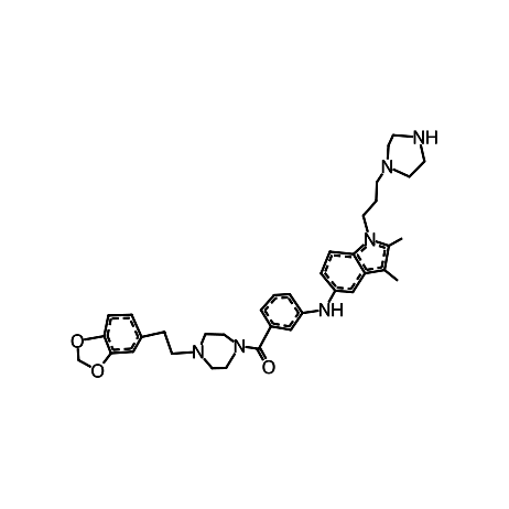 Cc1c(C)n(CCCN2CCNCC2)c2ccc(Nc3cccc(C(=O)N4CCN(CCc5ccc6c(c5)OCO6)CC4)c3)cc12